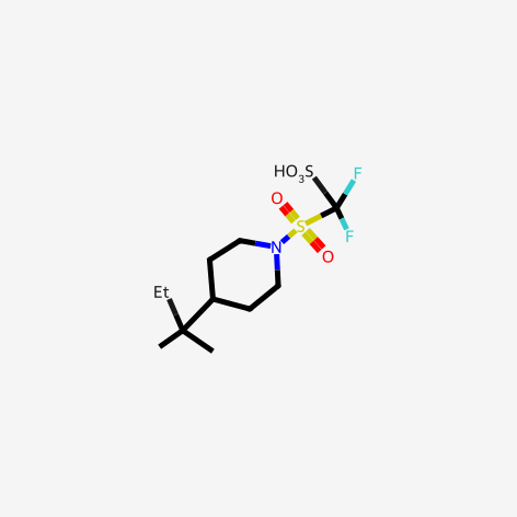 CCC(C)(C)C1CCN(S(=O)(=O)C(F)(F)S(=O)(=O)O)CC1